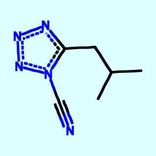 CC(C)Cc1nnnn1C#N